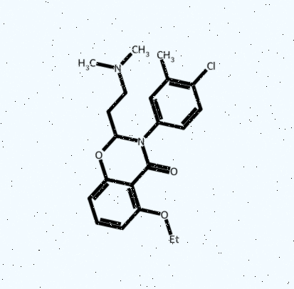 CCOc1cccc2c1C(=O)N(c1ccc(Cl)c(C)c1)C(CCN(C)C)O2